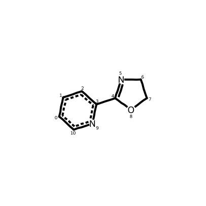 c1ccc(C2=NCCO2)nc1